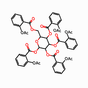 CC(=O)Oc1ccccc1C(=O)OCC1OC(OC(=O)c2ccccc2OC(C)=O)C(OC(=O)c2ccccc2OC(C)=O)C(OC(=O)c2ccccc2OC(C)=O)C1OC(=O)c1ccccc1OC(C)=O